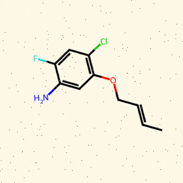 C/C=C/COc1cc(N)c(F)cc1Cl